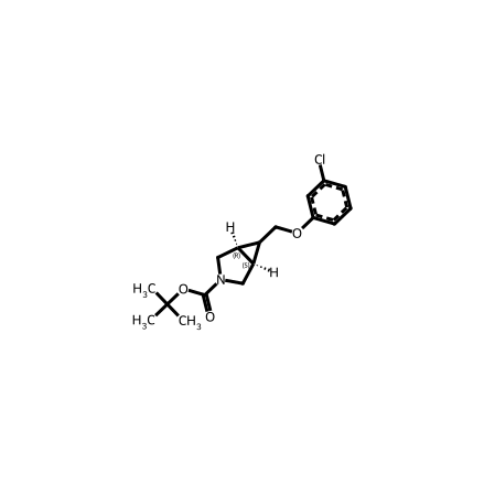 CC(C)(C)OC(=O)N1C[C@@H]2C(COc3cccc(Cl)c3)[C@@H]2C1